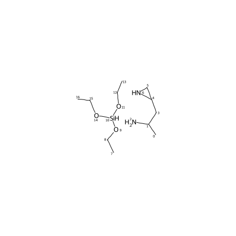 CC(N)CC1CN1.CCO[SiH](OCC)OCC